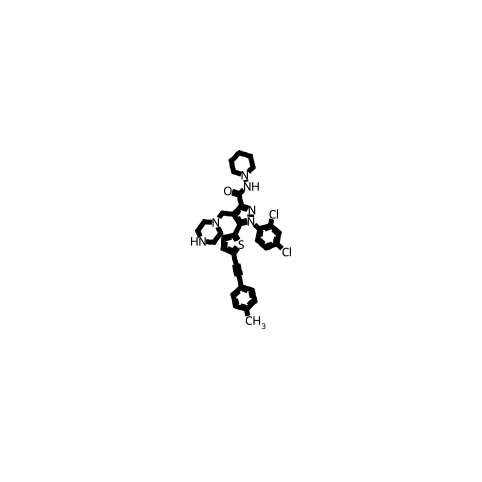 Cc1ccc(C#Cc2ccc(-c3c(CN4CCNCC4)c(C(=O)NN4CCCCC4)nn3-c3ccc(Cl)cc3Cl)s2)cc1